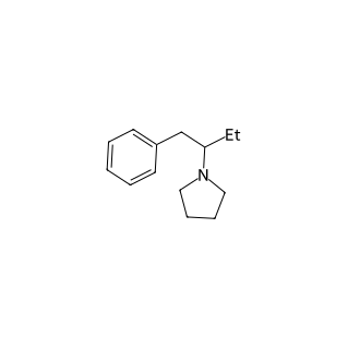 CCC(Cc1ccccc1)N1CCCC1